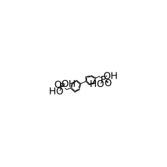 O=P(O)(O)Cc1ccc(-c2ccc(CP(=O)(O)O)cc2)cc1